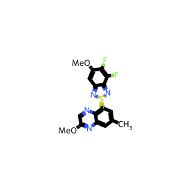 COc1cnc2c([SH]3N=c4cc(OC)c(F)c(F)c4=N3)cc(C)cc2n1